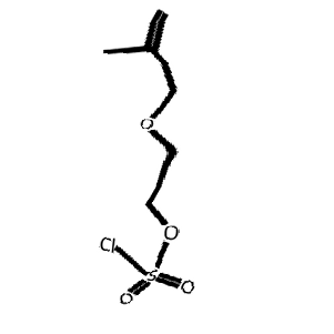 C=C(C)COCCOS(=O)(=O)Cl